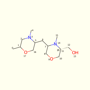 CC1CN(C)C(CC2COC[C@@H](CO)N2C)CO1